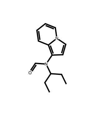 CCC(CC)N(C=O)c1ccn2ccccc12